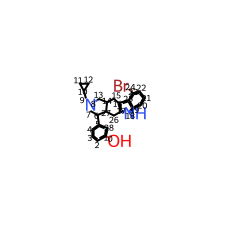 Oc1cccc(C2CN(CC3CC3)CC3Cc4c([nH]c5cccc(Br)c45)CC32)c1